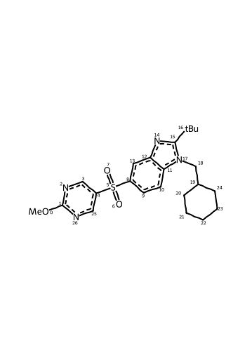 COc1ncc(S(=O)(=O)c2ccc3c(c2)nc(C(C)(C)C)n3CC2CCCCC2)cn1